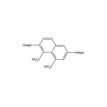 CCCCCCCc1cc(C(=O)O)c2c(C(=O)O)c(CCCCCCC)ccc2c1